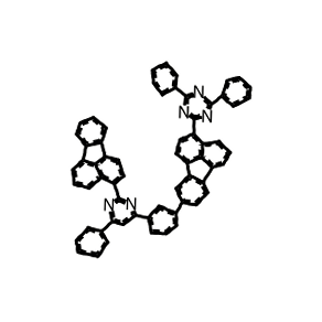 c1ccc(-c2cc(-c3cccc(-c4ccc5c(c4)-c4ccc(-c6nc(-c7ccccc7)nc(-c7ccccc7)n6)c6cccc-5c46)c3)nc(-c3ccc4c5c(cccc35)-c3ccccc3-4)n2)cc1